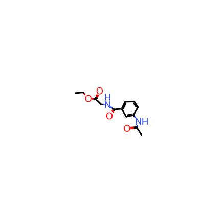 CCOC(=O)CNC(=O)c1cccc(NC(C)=O)c1